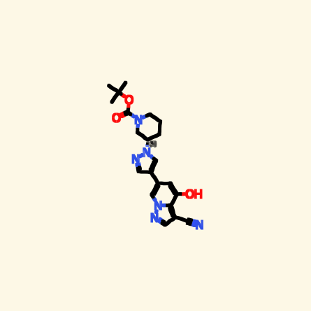 CC(C)(C)OC(=O)N1CCC[C@H](n2cc(-c3cc(O)c4c(C#N)cnn4c3)cn2)C1